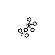 O=P(c1ccccc1)(c1ccccc1)c1ccc(-c2nc(-c3ccccc3)c(-c3ccccc3)n2-c2ccccc2)cc1